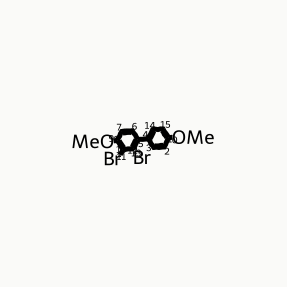 COc1ccc(-c2ccc(OC)c(Br)c2Br)cc1